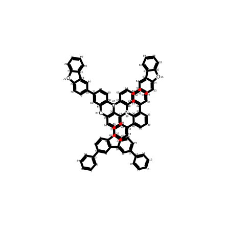 c1ccc(-c2ccc3c(c2)c2cc(-c4ccccc4)ccc2n3-c2cc3c4c(c2)N(c2c(-c5ccccc5)cccc2-c2ccccc2)c2cc(-c5ccc6oc7ccccc7c6c5)ccc2B4c2ccc(-c4ccc5oc6ccccc6c5c4)cc2O3)cc1